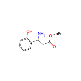 CCCOC(=O)CC(N)c1ccccc1O